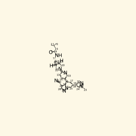 CC(C)CC(=O)NC[C@@H]1[C@H]2CN(c3ccc(-c4cc(-c5cnn(C)c5)cn5ncc(C#N)c45)cn3)C[C@@H]12